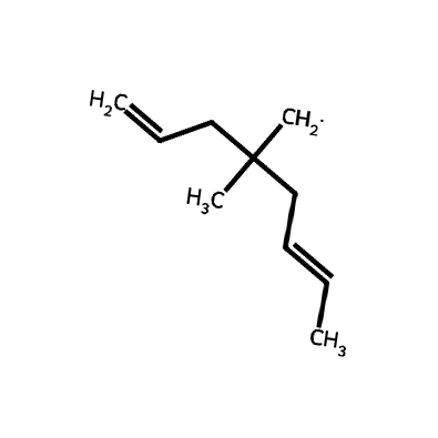 [CH2]C(C)(CC=C)CC=CC